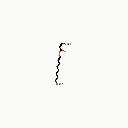 CCCCCCCCCCCCCCCCC=COC(=O)/C=C\C(=O)O